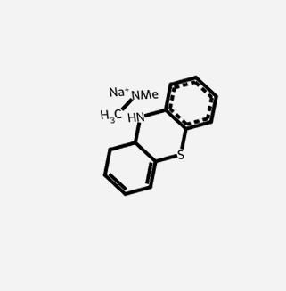 C1=CCC2Nc3ccccc3SC2=C1.C[N-]C.[Na+]